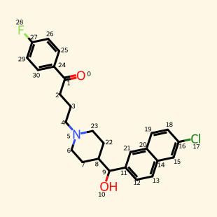 O=C(CCCN1CCC(C(O)c2ccc3cc(Cl)ccc3c2)CC1)c1ccc(F)cc1